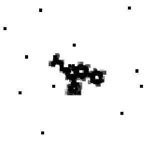 CC(C)CCc1cc(-c2nn[nH]n2)c2cc(-c3ccncc3)ccc2n1